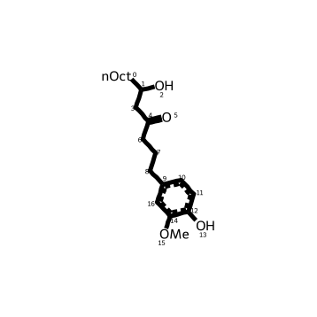 CCCCCCCCC(O)CC(=O)CCCc1ccc(O)c(OC)c1